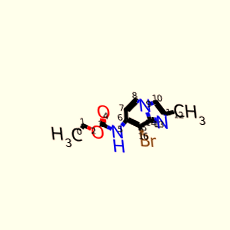 CCOC(=O)Nc1ccn2cc(C)nc2c1Br